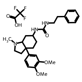 COc1ccc(C23CCC(NC(=O)NCCc4ccccc4)CC2N(C)CC3)cc1OC.O=C(O)C(F)(F)F